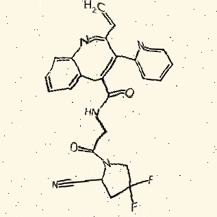 C=Cc1nc2ccccc2c(C(=O)NCC(=O)N2CC(F)(F)CC2C#N)c1-c1ccccn1